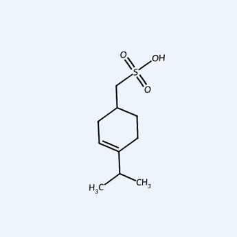 CC(C)C1=CCC(CS(=O)(=O)O)CC1